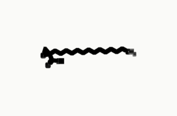 CCCCCCCCCCCCCCC1(C(=O)S)CO1